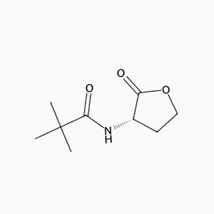 CC(C)(C)C(=O)N[C@H]1CCOC1=O